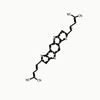 N#CC(C#N)=C/C=C/c1cc2sc3cc4c(cc3c2s1)sc1cc(/C=C/C=C(C#N)C#N)sc14